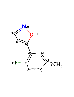 Cc1ccc(F)c(-c2ccno2)c1